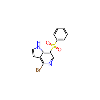 O=S(=O)(c1ccccc1)c1cnc(Br)c2cc[nH]c12